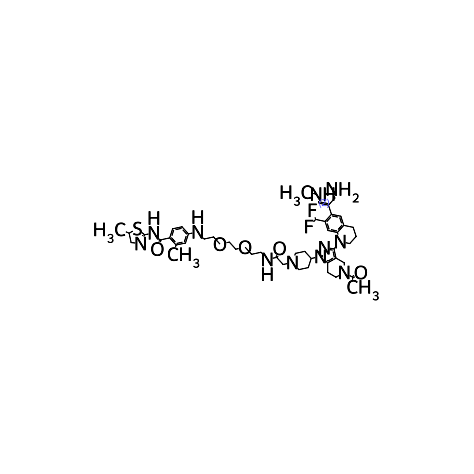 CN/C=C(\CN)c1cc2c(cc1C(F)F)N(c1nn(C3CCN(CC(=O)NCCOCCOCCNc4ccc(C(=O)NC5=NCC(C)S5)c(C)c4)CC3)c3c1CN(C(C)=O)CC3)CCC2